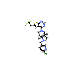 FC(F)(F)Cc1cc2c(N3CC[C@@H]4[C@@H](CCN4Cc4ccc(Cl)nc4)C3)ncnc2s1